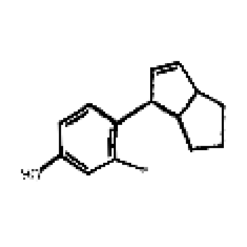 Oc1ccc(C2C=CC3CCCC32)c(F)c1